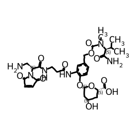 CC(C)[C@@H](C(N)=O)N(C)C(=O)OCc1ccc(O[C@H]2C[C@@H](O)C[C@@H](C(=O)O)O2)c(NC(=O)CCNC(=O)[C@H](CN)N2C(=O)C=CC2=O)c1